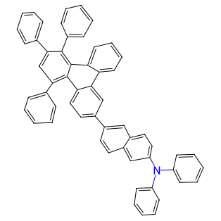 c1ccc(-c2cc(-c3ccccc3)c3c4ccc(-c5ccc6cc(N(c7ccccc7)c7ccccc7)ccc6c5)cc4c4ccccc4c3c2-c2ccccc2)cc1